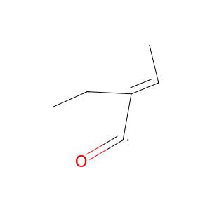 C/C=C(/[C]=O)CC